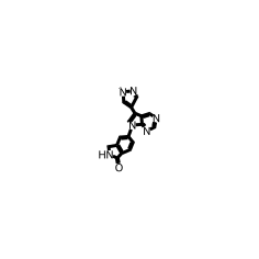 Cn1cc(-c2cn(-c3ccc4c(c3)CNC4=O)c3ncncc23)cn1